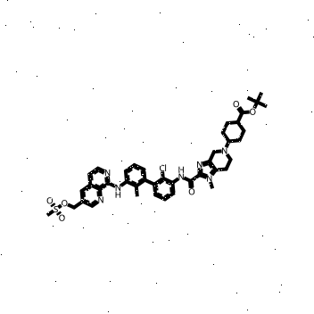 Cc1c(Nc2nccc3cc(COS(C)(=O)=O)cnc23)cccc1-c1cccc(NC(=O)c2nc3c(n2C)CCN(C2CCC(C(=O)OC(C)(C)C)CC2)C3)c1Cl